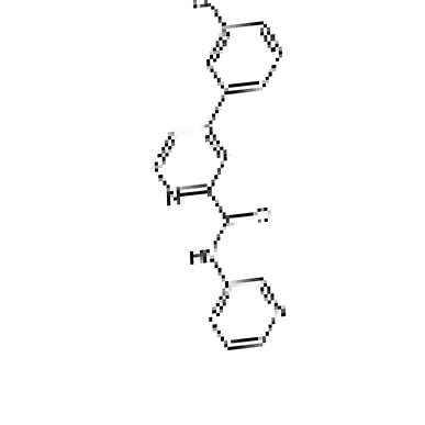 O=C(Nc1cccnc1)c1cc(-c2cccc(Cl)c2)ccn1